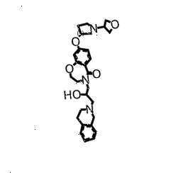 O=C1c2ccc(O[C@H]3CCN(C4COC4)C3)cc2OCCN1CC(O)CN1CCc2ccccc2C1